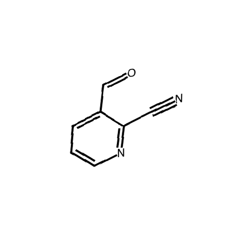 N#Cc1ncccc1C=O